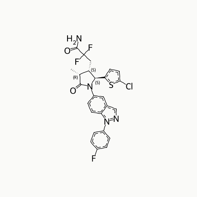 C[C@H]1C(=O)N(c2ccc3c(cnn3-c3ccc(F)cc3)c2)[C@H](c2ccc(Cl)s2)[C@H]1CC(F)(F)C(N)=O